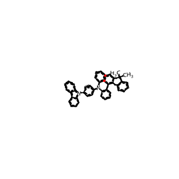 CC1(C)c2ccccc2-c2c(-c3ccccc3N(c3ccccc3)c3ccc(-n4c5ccccc5c5ccccc54)cc3)cccc21